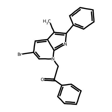 Cc1c2cc(Br)cn(CC(=O)c3ccccc3)c-2nc1-c1ccccc1